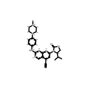 C#Cc1cc(N2C(=O)OCC2C(C)C)nc2nc(Nc3ccc(N4CCN(C)CC4)cc3)ncc12